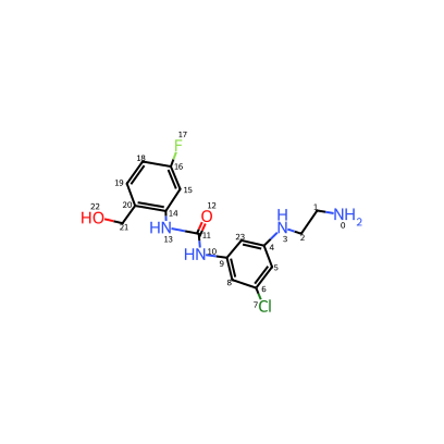 NCCNc1cc(Cl)cc(NC(=O)Nc2cc(F)ccc2CO)c1